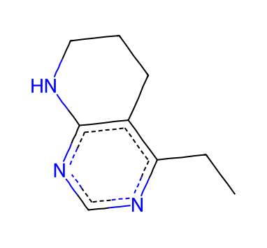 CCc1ncnc2c1CCCN2